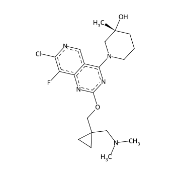 CN(C)CC1(COc2nc(N3CCC[C@@](C)(O)C3)c3cnc(Cl)c(F)c3n2)CC1